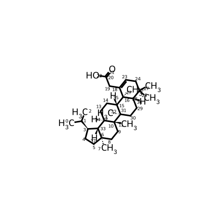 CC(C)[C@@H]1CC[C@]2(C)CC[C@]3(C)[C@H](CC[C@@H]4[C@@]5(C)C(CC(=O)O)=CCC(C)(C)[C@@H]5CC[C@]43C)[C@@H]12